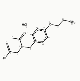 CC(=O)N(CC(=O)O)Cc1ccc(OCCN)cc1.Cl